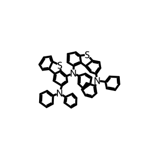 c1ccc(N(c2ccccc2)c2cc(N(c3ccccc3)c3cccc4sc5ccc(N(c6ccccc6)c6ccccc6)cc5c34)c3sc4ccccc4c3c2)cc1